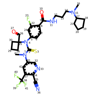 CN(C(=S)N(c1ccc(C(=O)NCCCN(C)C2CCCC2)c(F)c1)C1(C=O)CCC1)c1cnc(C#N)c(C(F)(F)F)c1